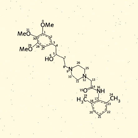 COc1cc(CC(O)CCN2CCN(CC(=O)Nc3c(C)cccc3C)CC2)cc(OC)c1OC